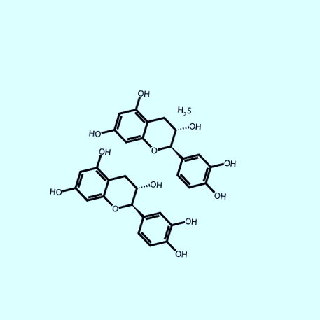 Oc1cc(O)c2c(c1)O[C@H](c1ccc(O)c(O)c1)[C@@H](O)C2.Oc1cc(O)c2c(c1)O[C@H](c1ccc(O)c(O)c1)[C@@H](O)C2.S